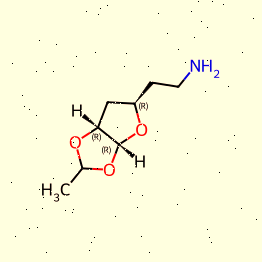 CC1O[C@H]2O[C@H](CCN)C[C@H]2O1